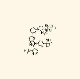 CN(C1CCN(c2cccc(-c3ccc4nc(-c5cccnc5N)n(-c5ccc(C6(N)CCC6)cc5)c4n3)c2)C1)S(C)(=O)=O